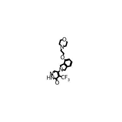 O=c1[nH]ncc(N2Cc3cccc(OCCN4CCOCC4)c3C2)c1C(F)(F)F